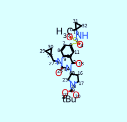 CC1(NS(=O)(=O)c2ccc3c(c2)c(=O)n([C@@H]2CCN(C(=O)OC(C)(C)C)C2)c(=O)n3CC2CC2)CC1